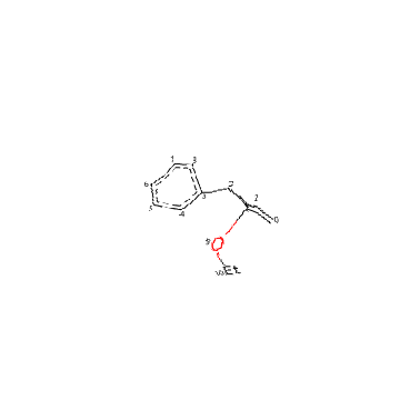 C=C(Cc1ccccc1)OCC